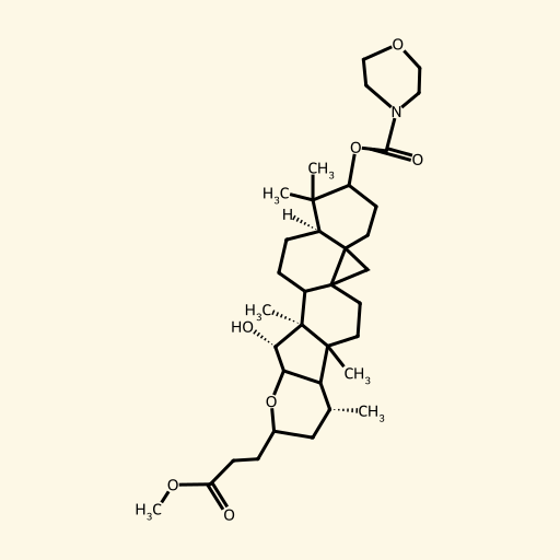 COC(=O)CCC1C[C@@H](C)C2C(O1)[C@H](O)[C@@]1(C)C3CC[C@H]4C(C)(C)C(OC(=O)N5CCOCC5)CCC45CC35CCC21C